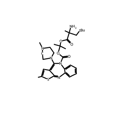 Cc1cc2c(s1)=Nc1ccccc1N(C(=O)OC(C)(C)OC(=O)C(C)(N)CC(C)(C)C)C=2N1CCN(C)CC1